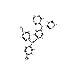 Oc1ccc(C(=Cc2ccc(N(c3ccccc3)c3ccccc3)cc2)c2ccc(O)cc2)cc1